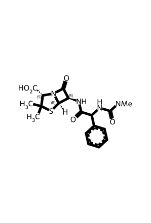 CNC(=O)NC(C(=O)N[C@@H]1C(=O)N2[C@@H]1SC(C)(C)[C@@H]2C(=O)O)c1ccccc1